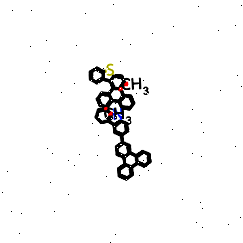 CCc1cccc(-n2c3c(c4cc(-c5ccc6c7ccccc7c7ccccc7c6c5)ccc42)CCC=C3)c1-c1c(C)cccc1-c1cccc2sc3ccccc3c12